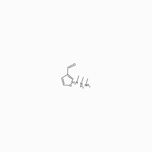 CN.CN.CN.O=Cc1ccoc1